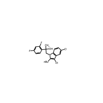 CCCCc1c(CC)c2cc(Cl)ccc2n1CC(C)(O)c1ccc(F)cc1F